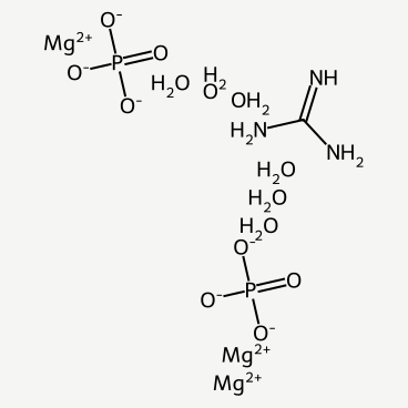 N=C(N)N.O.O.O.O.O.O.O=P([O-])([O-])[O-].O=P([O-])([O-])[O-].[Mg+2].[Mg+2].[Mg+2]